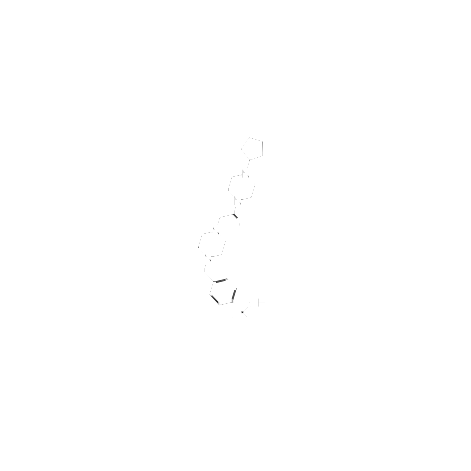 CC(C)(C)c1ccc(CN2CCN(CC(=O)N3CCN(C4CCCC4)CC3)CC2)cc1